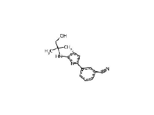 CC(C)(CO)Nc1nc(-c2cccc(C#N)c2)cs1